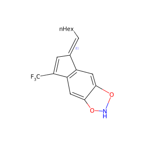 CCCCCC/C=C1\C=C(C(F)(F)F)c2cc3c(cc21)ONO3